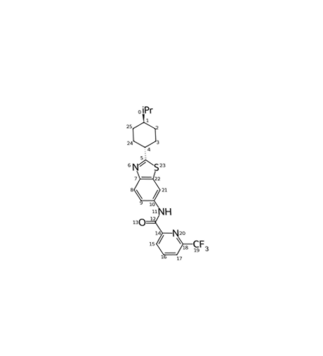 CC(C)[C@H]1CC[C@H](c2nc3ccc(NC(=O)c4cccc(C(F)(F)F)n4)cc3s2)CC1